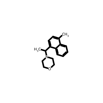 Cc1ccc(C(C)N2CCOCC2)c2ccccc12